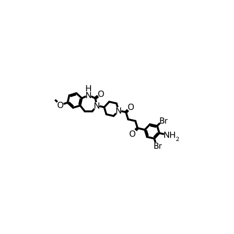 COc1ccc2c(c1)CCN(C1CCN(C(=O)CCC(=O)c3cc(Br)c(N)c(Br)c3)CC1)C(=O)N2